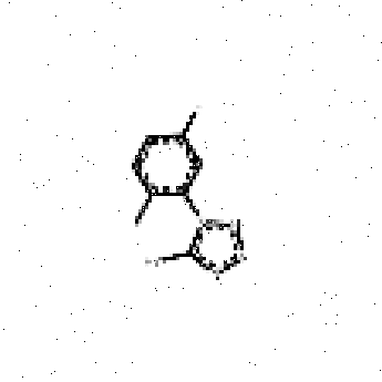 Cc1ccc(F)cc1-n1nnnc1S